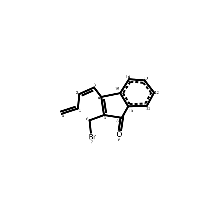 C=C/C=C\C1=C(CBr)C(=O)c2ccccc21